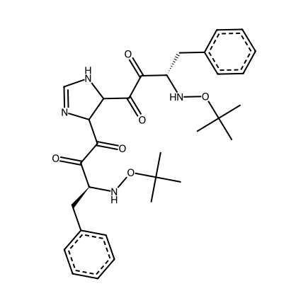 CC(C)(C)ON[C@@H](Cc1ccccc1)C(=O)C(=O)C1N=CNC1C(=O)C(=O)[C@H](Cc1ccccc1)NOC(C)(C)C